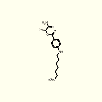 CCCCCCCCCCCCCCCCNc1ccc(C(=O)OC(CC)C(N)=O)cc1